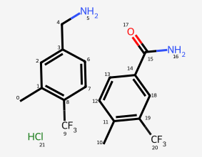 Cc1cc(CN)ccc1C(F)(F)F.Cc1ccc(C(N)=O)cc1C(F)(F)F.Cl